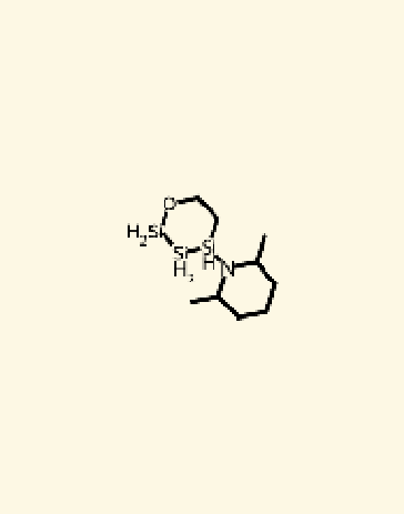 CC1CCCC(C)N1[SiH]1CCO[SiH2][SiH2]1